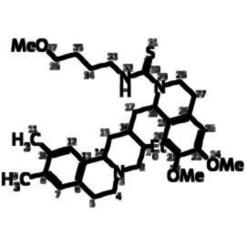 CCC1CN2CCc3cc(C)c(C)cc3C2CC1CC1c2cc(OC)c(OC)cc2CCN1C(=S)NCCCCOC